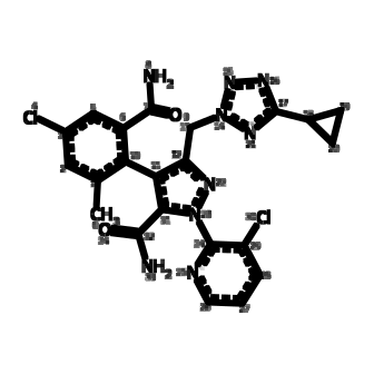 Cc1cc(Cl)cc(C(N)=O)c1-c1c(Cn2nnc(C3CC3)n2)nn(-c2ncccc2Cl)c1C(N)=O